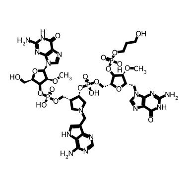 CO[C@H]1C(OP(=O)(O)OCCCO)[C@@H](COP(=O)(O)O[C@@H]2CN(Cc3c[nH]c4c(N)ncnc34)C[C@@H]2COP(=O)(O)OC2[C@@H](CO)O[C@@H](n3cnc4c(=O)[nH]c(N)nc43)[C@H]2OC)O[C@H]1Cn1cnc2c(=O)[nH]c(N)nc21